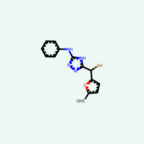 O=Cc1ccc(C(S)c2nnc(Nc3ccccc3)[nH]2)o1